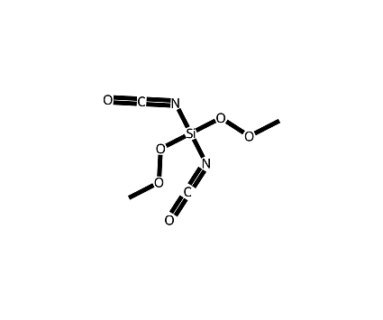 COO[Si](N=C=O)(N=C=O)OOC